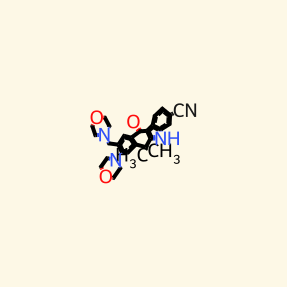 CC1(C)c2cc(N3CCOCC3)c(CN3CCOCC3)cc2C(=O)c2c1[nH]c1cc(C#N)ccc21